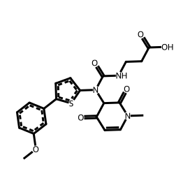 COc1cccc(-c2ccc(N(C(=O)NCCC(=O)O)C3C(=O)C=CN(C)C3=O)s2)c1